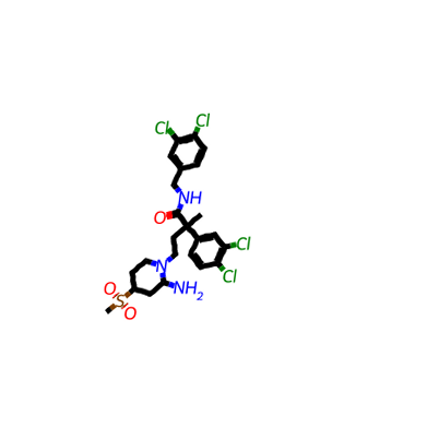 CC(CCN1CCC(S(C)(=O)=O)CC1N)(C(=O)NCc1ccc(Cl)c(Cl)c1)c1ccc(Cl)c(Cl)c1